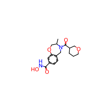 CC1COc2cc(C(=O)NO)ccc2CN1C(=O)C1CCCOC1